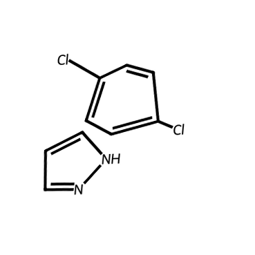 Clc1ccc(Cl)cc1.c1cn[nH]c1